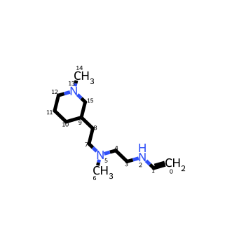 C=CNCCN(C)CCC1CCCN(C)C1